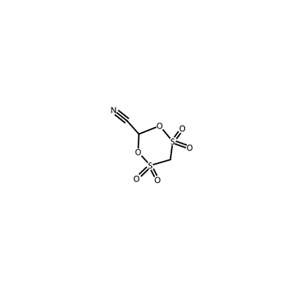 N#CC1OS(=O)(=O)CS(=O)(=O)O1